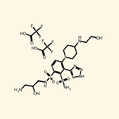 NCC(O)CNS(=O)(=O)c1ccc(N2CCC(NCCO)CC2)c(-c2nn[nH]n2)c1S(N)(=O)=O.O=C(O)C(F)(F)F.O=C(O)C(F)(F)F